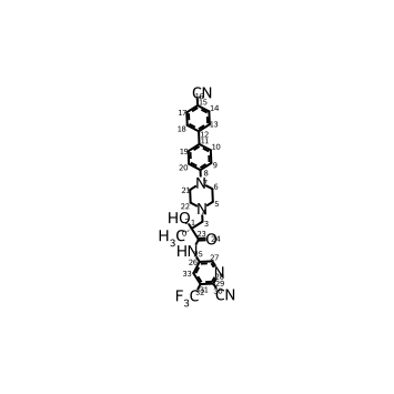 C[C@](O)(CN1CCN(c2ccc(-c3ccc(C#N)cc3)cc2)CC1)C(=O)Nc1cnc(C#N)c(C(F)(F)F)c1